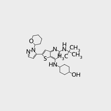 CC(C)(C)Nc1cc(NC2CCC(O)CC2)c2sc(-c3ccnn3C3CCCCO3)cc2n1